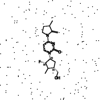 C=C1C(C)CCN1c1ccn([C@@H]2C[C@H](CO)C(C)[C@@H]2F)c(=O)n1